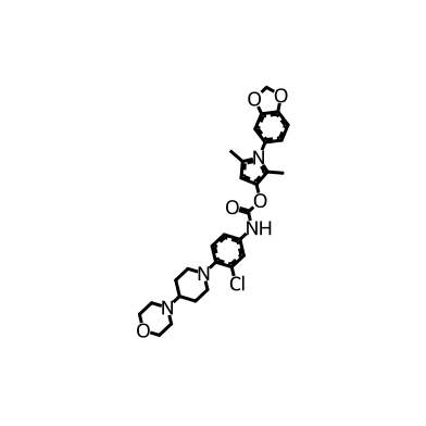 Cc1cc(OC(=O)Nc2ccc(N3CCC(N4CCOCC4)CC3)c(Cl)c2)c(C)n1-c1ccc2c(c1)OCO2